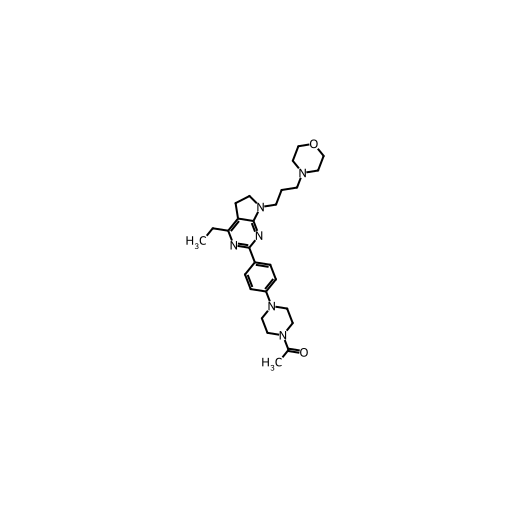 CCc1nc(-c2ccc(N3CCN(C(C)=O)CC3)cc2)nc2c1CCN2CCCN1CCOCC1